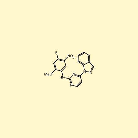 COc1cc(F)c([N+](=O)[O-])cc1Nc1nccc(-n2ncc3ccccc32)n1